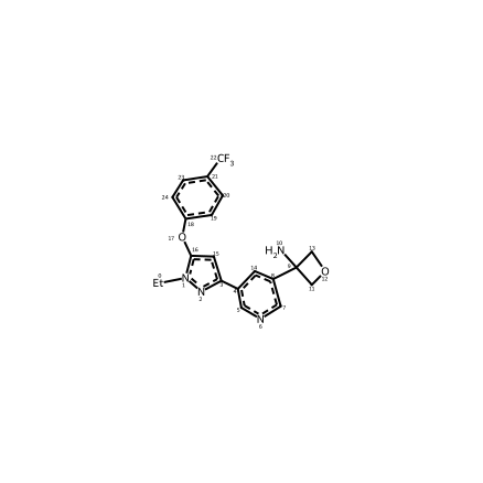 CCn1nc(-c2cncc(C3(N)COC3)c2)cc1Oc1ccc(C(F)(F)F)cc1